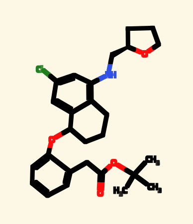 CC(C)(C)OC(=O)Cc1ccccc1OC1CCCc2c(NC[C@H]3CCCO3)cc(Cl)cc21